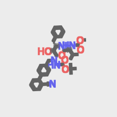 COC(=O)N[C@H](C(=O)N[C@@H](Cc1ccccc1)[C@@H](O)CN(Cc1ccc(-c2ccccc2C#N)cc1)NC(=O)OC(C)(C)C)C(C)C